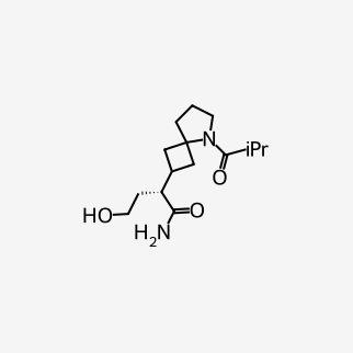 CC(C)C(=O)N1CCCC12CC([C@@H](CCO)C(N)=O)C2